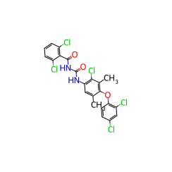 Cc1cc(NC(=O)NC(=O)c2c(Cl)cccc2Cl)c(Cl)c(C)c1Oc1ccc(Cl)cc1Cl